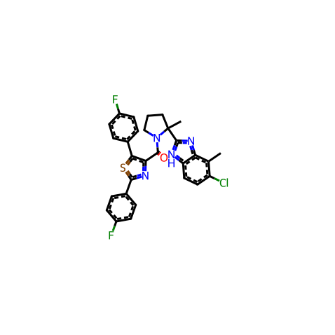 Cc1c(Cl)ccc2[nH]c(C3(C)CCCN3C(=O)c3nc(-c4ccc(F)cc4)sc3-c3ccc(F)cc3)nc12